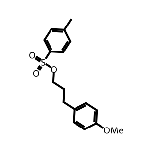 COc1ccc(CCCOS(=O)(=O)c2ccc(C)cc2)cc1